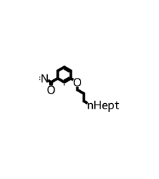 CCCCCCCCCCOC1=[C]C(C([N])=O)CC=C1